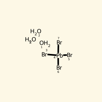 O.O.O.[Br][Pb]([Br])([Br])[Br]